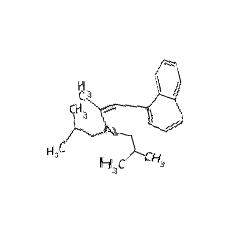 C[C](=Cc1cccc2ccccc12)[Al]([CH2]C(C)C)[CH2]C(C)C